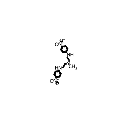 CN(CCNc1ccc([N+](=O)[O-])cc1)CCNc1ccc([N+](=O)[O-])cc1